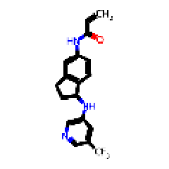 C=CC(=O)Nc1ccc2c(c1)CCC2Nc1cncc(C(F)(F)F)c1